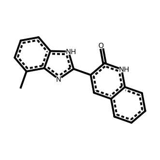 Cc1cccc2[nH]c(-c3cc4ccccc4[nH]c3=O)nc12